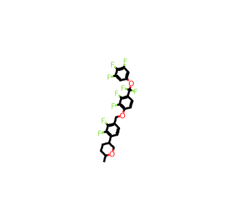 CC1CCC(c2ccc(COc3ccc(C(F)(F)Oc4cc(F)c(F)c(F)c4)c(F)c3F)c(F)c2F)CO1